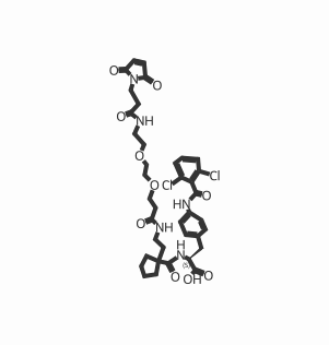 O=C(CCOCCOCCNC(=O)CCN1C(=O)C=CC1=O)NCCC1(C(=O)N[C@@H](Cc2ccc(NC(=O)c3c(Cl)cccc3Cl)cc2)C(=O)O)CCCC1